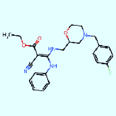 CCOC(=O)C(C#N)=C(NCC1CN(Cc2ccc(F)cc2)CCO1)Nc1ccccc1